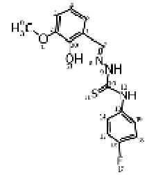 COc1cccc(/C=N/NC(=S)Nc2ccc(F)cc2)c1O